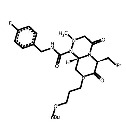 CCCCOCCCN1C[C@H]2N(C(=O)CN(C)N2C(=O)NCc2ccc(F)cc2)[C@@H](CC(C)C)C1=O